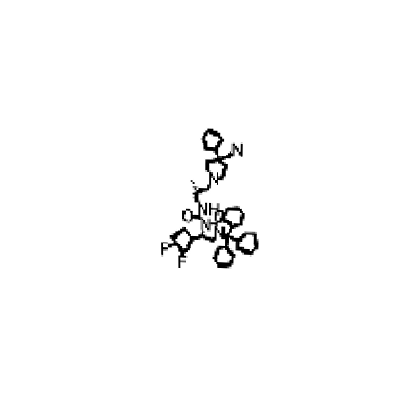 C[C@@H](CNC(=O)N1C(=O)N(C(c2ccccc2)(c2ccccc2)c2ccccc2)CC1c1ccc(F)c(F)c1)CN1CCC(C#N)(c2ccccc2)CC1